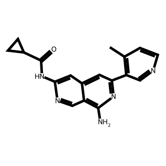 Cc1ccncc1-c1cc2cc(NC(=O)C3CC3)ncc2c(N)n1